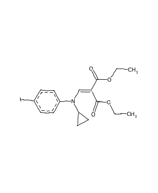 CCOC(=O)C(=CN(c1ccc(I)cc1)C1CC1)C(=O)OCC